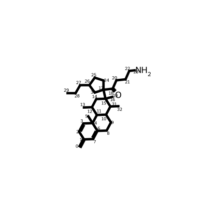 C=C1C=CC2(C)C(=C1)CCC1C2C(C)CC(C)(C2(C(=O)CCCN)CCC(CCC)C2)C1C